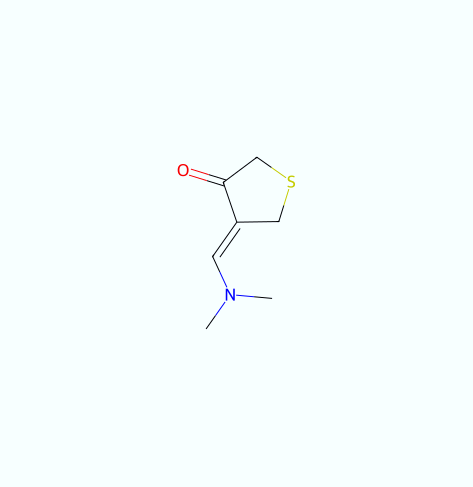 CN(C)/C=C1\CSCC1=O